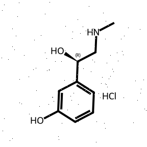 CNC[C@H](O)c1cccc(O)c1.Cl